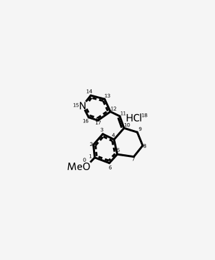 COc1ccc2c(c1)CCC/C2=C/c1ccncc1.Cl